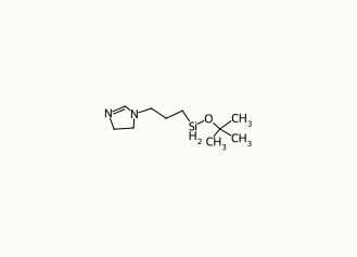 CC(C)(C)O[SiH2]CCCN1C=NCC1